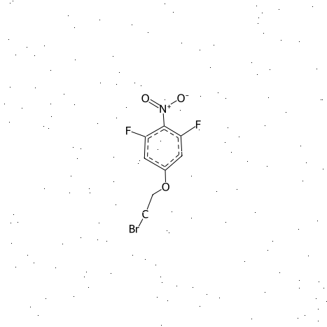 O=[N+]([O-])c1c(F)cc(OCCBr)cc1F